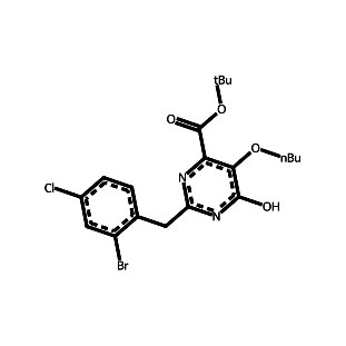 CCCCOc1c(O)nc(Cc2ccc(Cl)cc2Br)nc1C(=O)OC(C)(C)C